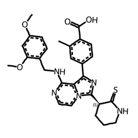 COc1ccc(CNc2nccn3c([C@@H]4CCCNC4=S)nc(-c4ccc(C(=O)O)c(C)c4)c23)c(OC)c1